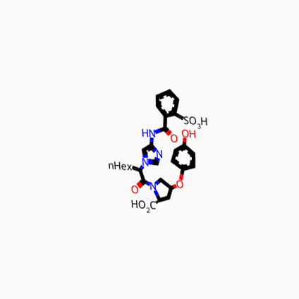 CCCCCCC(C(=O)N1CC(Oc2ccc(O)cc2)C[C@H]1C(=O)O)n1cnc(NC(=O)c2ccccc2S(=O)(=O)O)c1